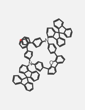 c1ccc(-c2ccc(N(c3ccc(-c4cccc5c4oc4c(-c6ccc(N(c7ccc(-c8ccccc8)cc7)c7cccc8c7-c7ccccc7C87c8ccccc8-c8ccccc87)cc6)cccc45)cc3)c3cccc4c3-c3ccccc3C43c4ccccc4-c4ccccc43)cc2)cc1